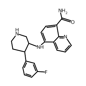 NC(=O)c1ccc(NC2CNCCC2c2cccc(F)c2)c2cccnc12